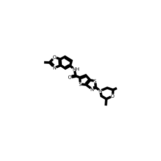 Cc1nc2cc(NC(=O)c3cc4sc(N5CC(C)OC(C)C5)nc4s3)ccc2o1